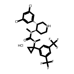 CN(C(=O)N(C)C1(c2cc(C(F)(F)F)cc(C(F)(F)F)c2)CC1)[C@@H]1CCNC[C@H]1c1cc(Cl)cc(Cl)c1.Cl